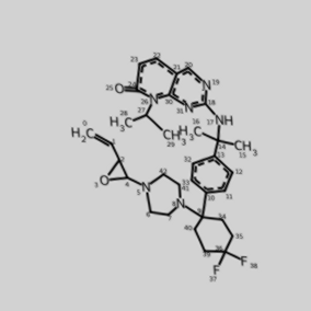 C=CC1OC1N1CCN(C2(c3ccc(C(C)(C)Nc4ncc5ccc(=O)n(C(C)C)c5n4)cc3)CCC(F)(F)CC2)CC1